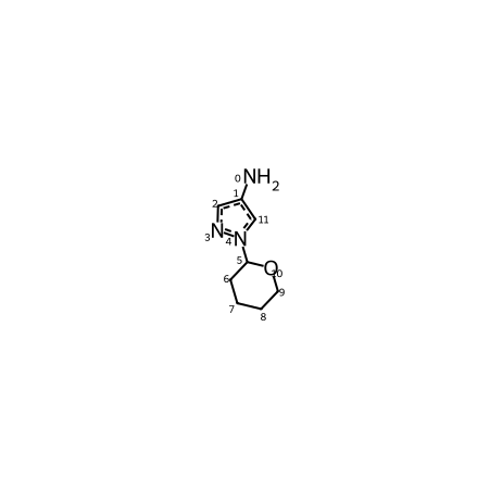 Nc1cnn(C2CCCCO2)c1